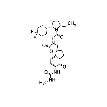 CC[C@@H]1CC[C@@H](C2CCC(F)(F)CC2)N1C(=O)CN1C[C@]2(CCC3C(=O)C(NC(=O)NC)=CC=C32)OC1=O